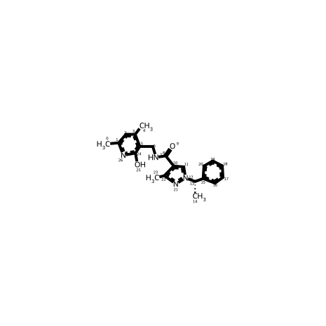 Cc1cc(C)c(CNC(=O)c2cn([C@@H](C)c3ccccc3)nc2C)c(O)n1